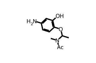 CC(=O)N(C)C(C)Oc1ccc(N)cc1O